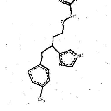 NC(=O)NOCCC(Cc1ccc(C(F)(F)F)cc1)c1c[nH]cn1